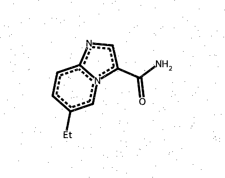 CCc1ccc2ncc(C(N)=O)n2c1